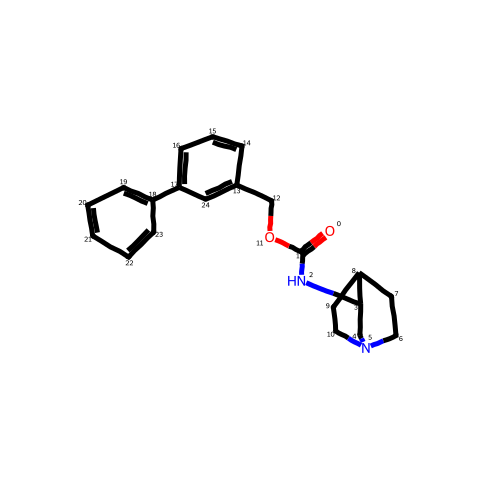 O=C(NC1CN2CCC1CC2)OCc1cccc(-c2ccccc2)c1